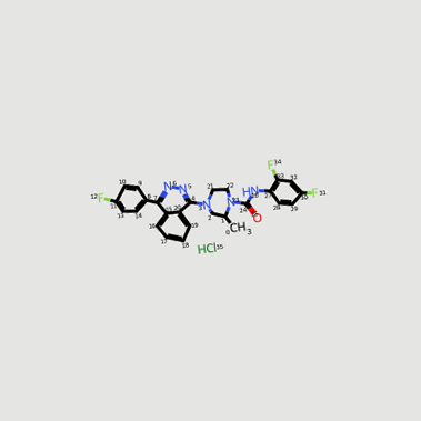 CC1CN(c2nnc(-c3ccc(F)cc3)c3ccccc23)CCN1C(=O)Nc1ccc(F)cc1F.Cl